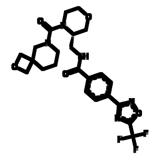 O=C(NC[C@H]1COCCN1C(=O)N1CCCC2(COC2)C1)c1ccc(-c2noc(C(F)(F)F)n2)cc1